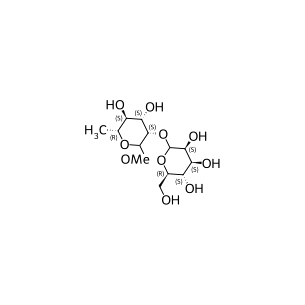 COC1O[C@H](C)[C@@H](O)[C@H](O)[C@@H]1OC1O[C@H](CO)[C@@H](O)[C@H](O)[C@@H]1O